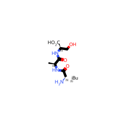 CC[C@H](C)[C@H](N)C(=O)N[C@@H](C)C(=O)N[C@@H](CO)C(=O)O